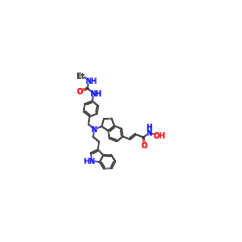 CCNC(=O)Nc1ccc(CN(CCc2c[nH]c3ccccc23)C2CCc3cc(C=CC(=O)NO)ccc32)cc1